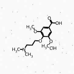 COc1cc(C(=O)O)cc(OC)c1OCCCN(C)C.Cl